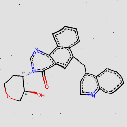 O=c1c2cc(Cc3ccnc4ccccc34)c3ccccc3c2ncn1[C@H]1CCOC[C@@H]1O